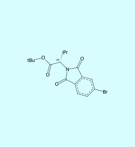 CC(C)[C@@H](C(=O)OC(C)(C)C)N1C(=O)c2ccc(Br)cc2C1=O